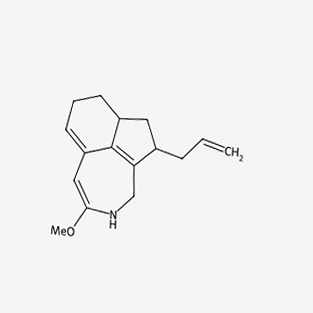 C=CCC1CC2CCC=C3C=C(OC)NCC1=C32